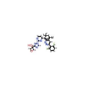 CC1(C)C[C@H]2CC[C@]1(c1ccnc(-n3cnc(C4(O)COC4)n3)n1)c1nnc(-c3c(F)cccc3F)cc12